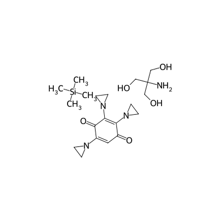 C[Si](C)(C)C.NC(CO)(CO)CO.O=C1C=C(N2CC2)C(=O)C(N2CC2)=C1N1CC1